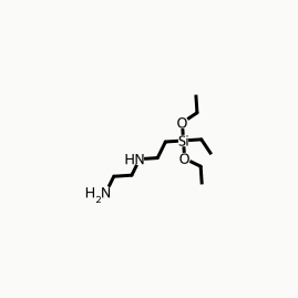 CCO[Si](CC)(CCNCCN)OCC